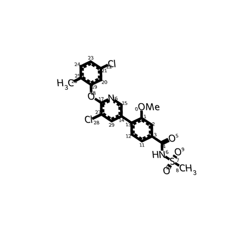 COc1cc(C(=O)NS(C)(=O)=O)ccc1-c1cnc(Oc2cc(Cl)ccc2C)c(Cl)c1